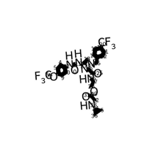 O=C(Nc1ccc(OC(F)(F)F)cc1)Nc1cn(Cc2ccc(C(F)(F)F)cc2)c(C(=O)NCCOC(=O)CNC2CC2)n1